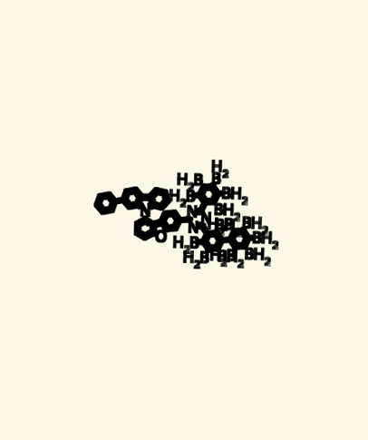 Bc1c(B)c(B)c(-c2nc(-c3ccc4c(c3)oc3cccc(-n5c6ccccc6c6ccc(-c7ccccc7)cc65)c34)nc(-c3c(B)c(B)c(B)c(-c4c(B)c(B)c(B)c(B)c4B)c3B)n2)c(B)c1B